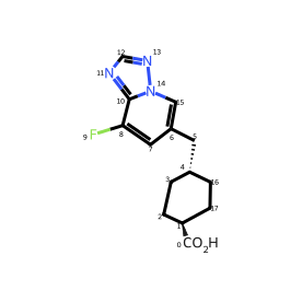 O=C(O)[C@H]1CC[C@H](Cc2cc(F)c3ncnn3c2)CC1